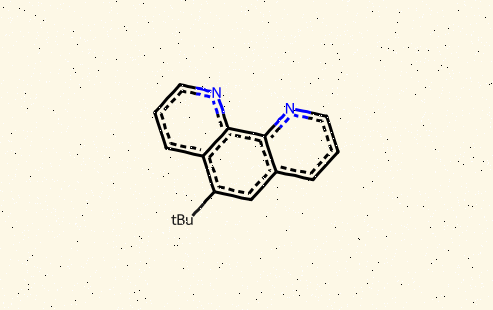 CC(C)(C)c1cc2cccnc2c2ncccc12